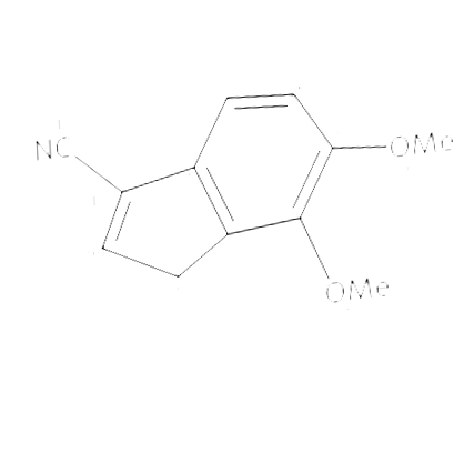 COc1ccc2c(c1OC)CC=C2C#N